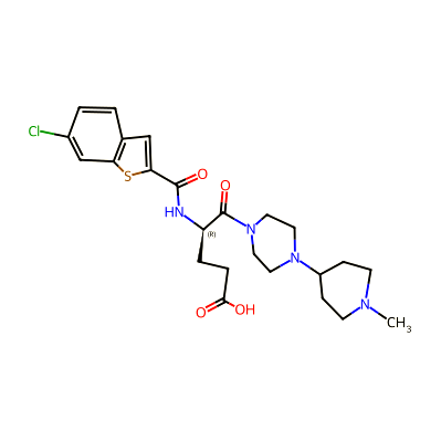 CN1CCC(N2CCN(C(=O)[C@@H](CCC(=O)O)NC(=O)c3cc4ccc(Cl)cc4s3)CC2)CC1